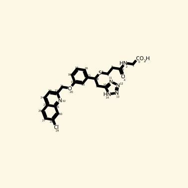 O=C(O)CNC(=O)CCSC(Cc1nnn[nH]1)c1cccc(OCc2ccc3ccc(Cl)cc3n2)c1